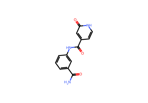 NC(=O)c1cccc(NC(=O)c2cc[nH]c(=O)c2)c1